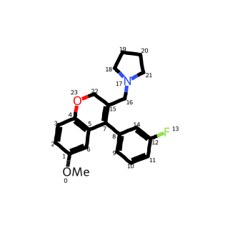 COc1ccc2c(c1)C(c1cccc(F)c1)=C(CN1CCCC1)CO2